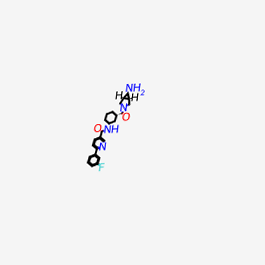 N[C@@H]1[C@H]2CN(C(=O)[C@H]3CCC[C@@H](NC(=O)c4ccc(-c5cccc(F)c5)nc4)C3)C[C@@H]12